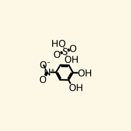 O=S(=O)(O)O.O=[N+]([O-])c1ccc(O)c(O)c1